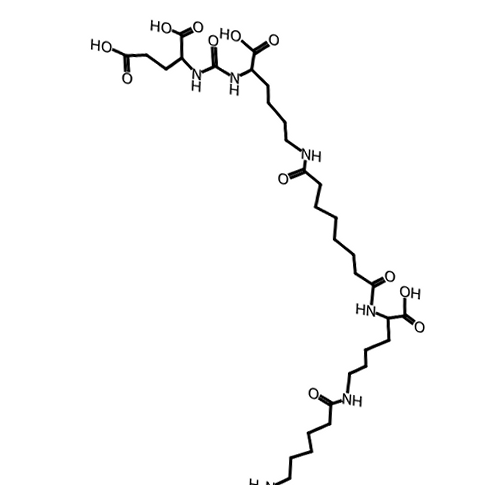 NCCCCCC(=O)NCCCCC(NC(=O)CCCCCCC(=O)NCCCCC(NC(=O)NC(CCC(=O)O)C(=O)O)C(=O)O)C(=O)O